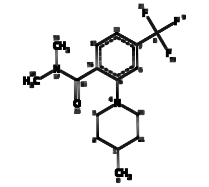 CC1CCN(c2cc(C(F)(F)F)ccc2C(=O)N(C)C)CC1